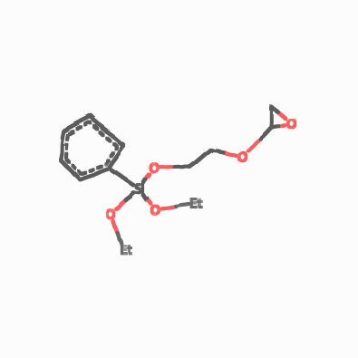 CCO[Si](OCC)(OCCOC1CO1)c1ccccc1